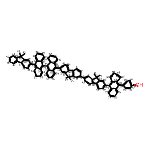 CC1(C)c2cc(-c3ccc4c(c3)C(C)(C)c3cc(-c5c6ccccc6c(-c6c7ccccc7c(-c7ccc8c(c7)C(C)(C)c7ccccc7-8)c7ccccc67)c6ccccc56)ccc3-4)ccc2-c2ccc(-c3c4ccccc4c(-c4ccc(O)cc4)c4ccccc34)cc21